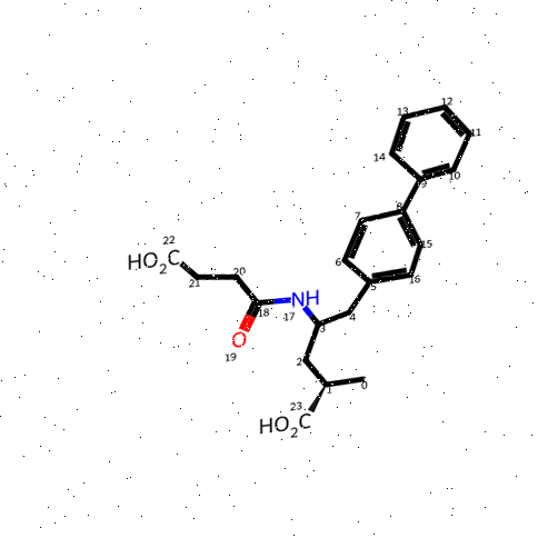 C[C@H](CC(Cc1ccc(-c2ccccc2)cc1)NC(=O)CCC(=O)O)C(=O)O